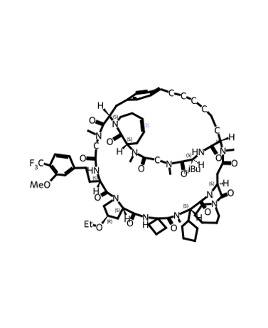 CCO[C@@H]1C[C@H]2C(=O)NC3(CCC3)C(=O)N(C)[C@@H](C3CCCC3)C(=O)N(C)[C@H](C(=O)N3CCCCC3)CC(=O)N(C)[C@H]3CCCCCCc4ccc(cc4)C[C@@H](C(=O)N(C)CC(=O)N[C@@H](CCc4ccc(C(F)(F)F)c(OC)c4)C(=O)N2C1)N1CC/C=C\C[C@@H](C1=O)N(C)C(=O)CN(C)C(=O)[C@H]([C@@H](C)CC)NC3=O